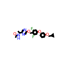 CC(=O)NC(C)c1cnc(OCc2c(F)cc(Oc3cccc(OCC4CC4)c3)cc2F)cn1